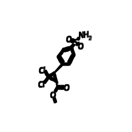 COC(=O)[C@H]1[C@H](c2ccc(S(N)(=O)=O)cc2)C1(Cl)Cl